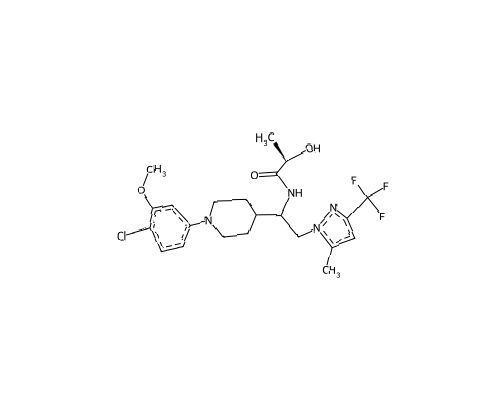 COc1cc(N2CCC(C(Cn3nc(C(F)(F)F)cc3C)NC(=O)[C@@H](C)O)CC2)ccc1Cl